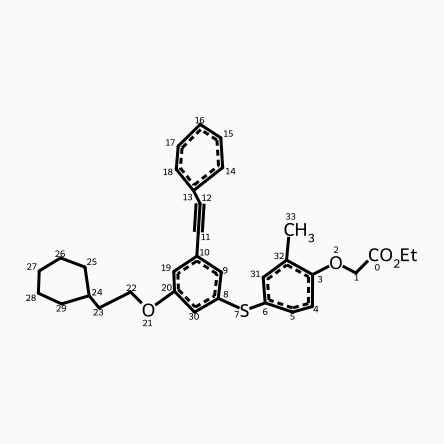 CCOC(=O)COc1ccc(Sc2cc(C#Cc3ccccc3)cc(OCCC3CCCCC3)c2)cc1C